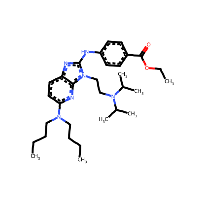 CCCCN(CCCC)c1ccc2nc(Nc3ccc(C(=O)OCC)cc3)n(CCN(C(C)C)C(C)C)c2n1